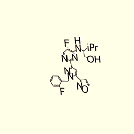 CC(C)C(CO)Nc1nc(-c2cc(-c3ccon3)n(Cc3ccccc3F)n2)ncc1F